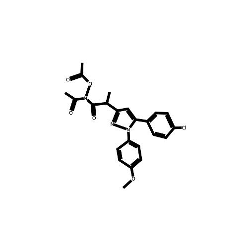 COc1ccc(-n2nc(C(C)C(=O)N(OC(C)=O)C(C)=O)cc2-c2ccc(Cl)cc2)cc1